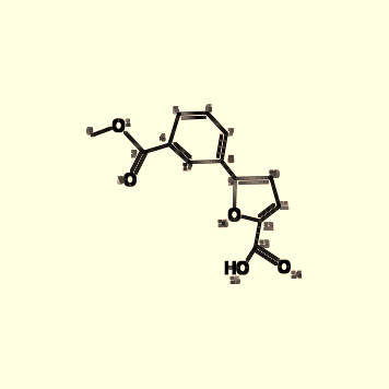 COC(=O)c1cccc(-c2ccc(C(=O)O)o2)c1